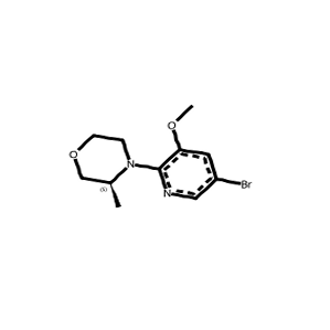 COc1cc(Br)cnc1N1CCOC[C@@H]1C